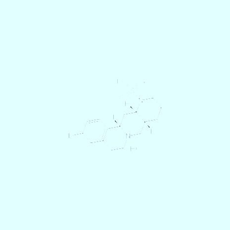 CS(=O)(=O)N1CCC[C@@H]2CN3CCc4cc(F)ccc4[C@@H]3C[C@@H]21.Cl